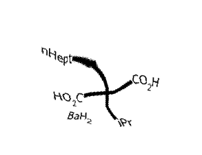 CCCCCCCCC(C(=O)O)(C(=O)O)C(C)C.[BaH2]